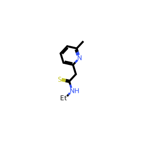 CCNC(=S)Cc1cccc(C)n1